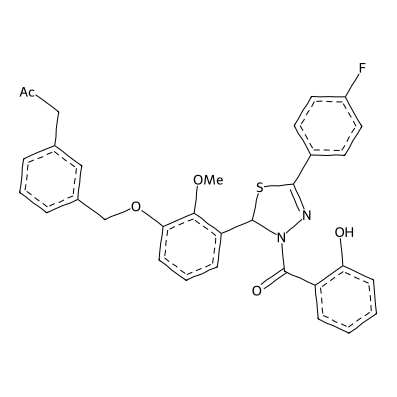 COc1c(OCc2cccc(CC(C)=O)c2)cccc1C1SC(c2ccc(F)cc2)=NN1C(=O)c1ccccc1O